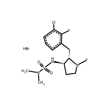 Br.CN(C)S(=O)(=O)N[C@@H]1CCN(F)[C@H]1Cc1cccc(Cl)c1F